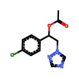 CC(=O)OC(Cn1cncn1)c1ccc(Cl)cc1